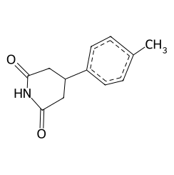 Cc1ccc(C2CC(=O)NC(=O)C2)cc1